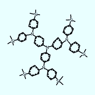 C[Si](C)(C)c1ccc(N(c2ccc(N(c3ccc(N(c4ccc([Si](C)(C)C)cc4)c4ccc([Si](C)(C)C)cc4)cc3)c3ccc(N(c4ccc([Si](C)(C)C)cc4)c4ccc([Si](C)(C)C)cc4)cc3)cc2)c2ccc([Si](C)(C)C)cc2)cc1